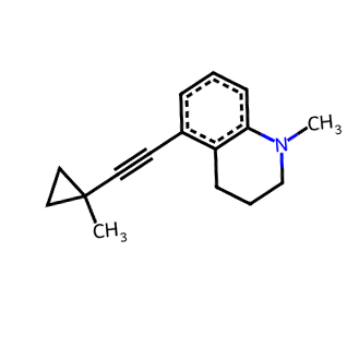 CN1CCCc2c(C#CC3(C)CC3)cccc21